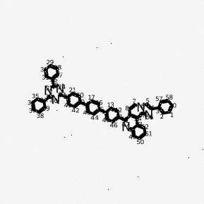 c1ccc(-c2cn3ccc4c(-c5ccc(-c6ccc(-c7ccc(-c8nc(-c9ccccc9)nc(-c9ccccc9)n8)cc7)cc6)cc5)nc5ccccc5c4c3n2)cc1